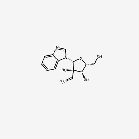 C=C[C@@]1(O)[C@H](O)[C@@H](CO)O[C@H]1n1cnc2ccccc21